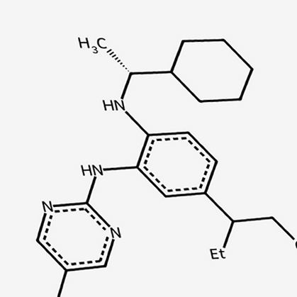 CCc1cnc(Nc2cc(C(CC)CC(=O)O)ccc2N[C@H](C)C2CCCCC2)nc1